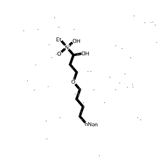 CCCCCCCCCCCCCOCCC(O)[N+]([O-])(O)CC